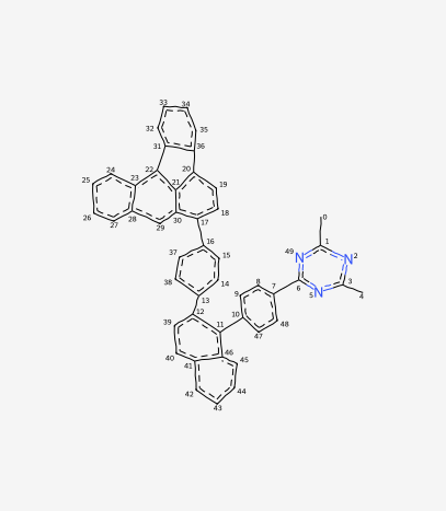 Cc1nc(C)nc(-c2ccc(-c3c(-c4ccc(-c5ccc6c7c(c8ccccc8cc57)-c5ccccc5-6)cc4)ccc4ccccc34)cc2)n1